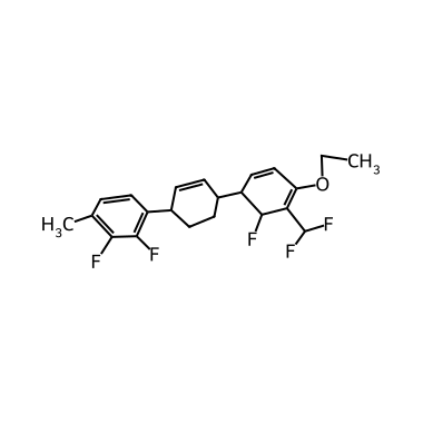 CCOC1=C(C(F)F)C(F)C(C2C=CC(c3ccc(C)c(F)c3F)CC2)C=C1